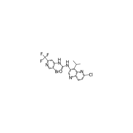 CC(C)c1c(NC(=O)Nc2cc(C(F)(F)F)ncc2Br)cnc2ccc(Cl)nc12